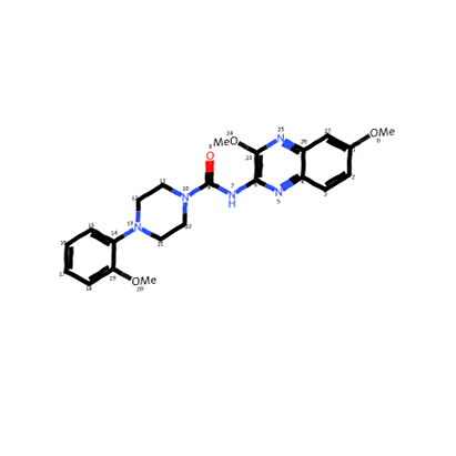 COc1ccc2nc(NC(=O)N3CCN(c4ccccc4OC)CC3)c(OC)nc2c1